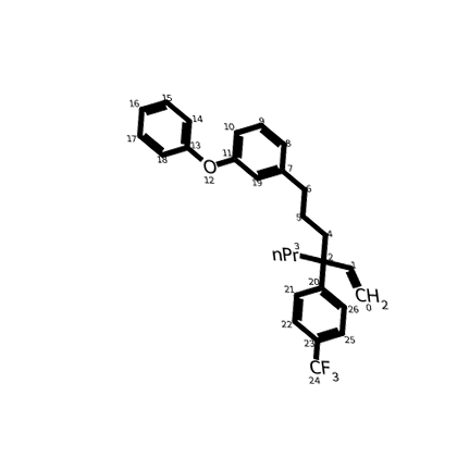 C=CC(CCC)(CCCc1cccc(Oc2ccccc2)c1)c1ccc(C(F)(F)F)cc1